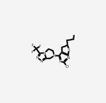 CCCC1Cc2c(nc(Cl)nc2N2CCn3c(nnc3C(F)(F)F)C2)S1